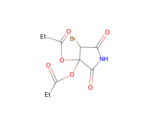 CCC(=O)OC1(OC(=O)CC)C(=O)NC(=O)C1Br